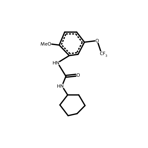 COc1ccc(OC(F)(F)F)cc1NC(=O)NC1CCCCC1